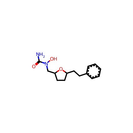 NC(=O)N(O)CC1CCC(CCc2ccccc2)O1